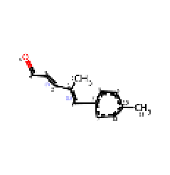 CC(/C=C/C=O)=C\c1ccc(C)cc1